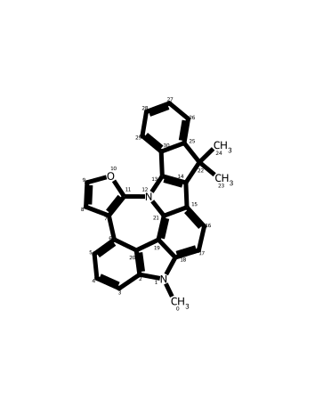 Cn1c2cccc3c4ccoc4n4c5c(c6ccc1c(c32)c64)C(C)(C)c1ccccc1-5